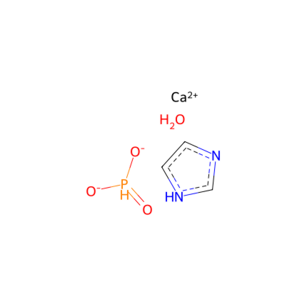 O.O=[PH]([O-])[O-].[Ca+2].c1c[nH]cn1